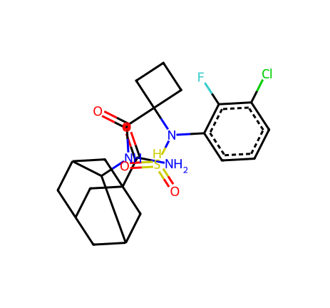 NC(=O)C12CC3CC(C1)C(NC(=O)C1(N(c4cccc(Cl)c4F)[SH](=O)=O)CCC1)C(C3)C2